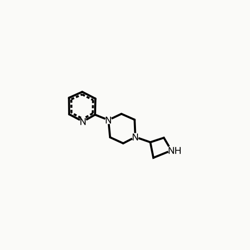 c1ccc(N2CCN(C3CNC3)CC2)nc1